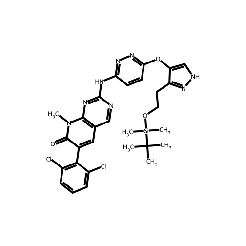 Cn1c(=O)c(-c2c(Cl)cccc2Cl)cc2cnc(Nc3ccc(Oc4c[nH]nc4CCO[Si](C)(C)C(C)(C)C)nn3)nc21